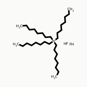 CCCCCCCC[N+](CCCCCCCC)(CCCCCCCC)CCCCCCCC.F.F